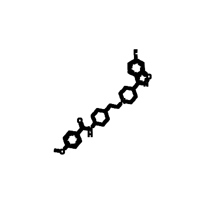 COc1ccc(C(=O)NC2CCC(CCN3CCC(c4noc5cc(F)ccc45)CC3)CC2)cc1